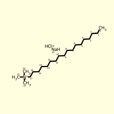 CCCCCCCCCCCCCCCCCC[N+](C)(C)C.Cl.[NaH]